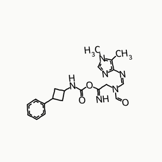 Cc1c(/N=C\N(C=O)CC(=N)OC(=O)NC2CC(c3ccccc3)C2)ncn1C